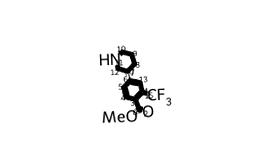 COC(=O)c1ccc([C@H]2CCCNC2)cc1C(F)(F)F